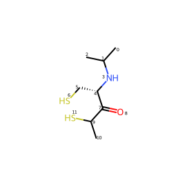 CC(C)N[C@@H](CS)C(=O)C(C)S